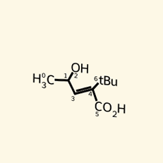 CC(O)C=C(C(=O)O)C(C)(C)C